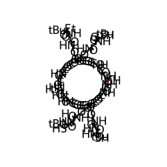 CCC(NC(=O)CCC(=O)NCCOCCOC1(OCCOCCNC(=O)CCC(=O)NC(CS)C(=O)C(C)(C)C)OCCOCCNC(=O)CCC(=O)NC(CS)C(=O)NCC(=O)NCCOCCOC(OCCOCCNC(=O)CNC(=O)C(CS)NC(C)(C)C)(OCCOCCNC(=O)CNC(=O)C(CS)NC(C)(C)C)OCCOCCNC(=O)CNC(=O)C(CS)NC(=O)CCC(=O)NCCOCCO1)C(=O)C(C)(C)C